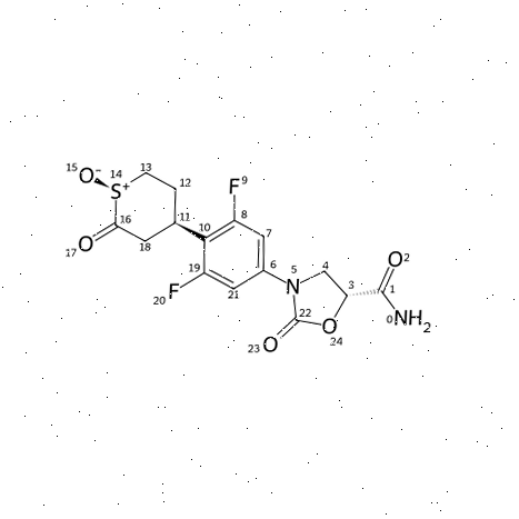 NC(=O)[C@H]1CN(c2cc(F)c([C@@H]3CC[S@+]([O-])C(=O)C3)c(F)c2)C(=O)O1